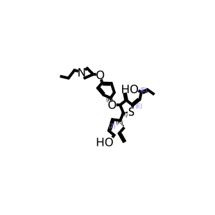 C=CC[C@H](/C=C\CO)[C@H]1S/C(=C/C(O)=C\C)C(=C)C1O[C@H]1C=CC(OC2CN(CCC)C2)=CC1